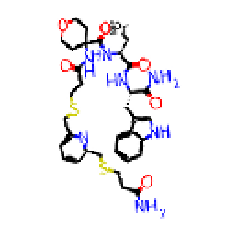 CC(C)C[C@H](NC(=O)C1(NC(=O)CCSCc2cccc(CSCCC(N)=O)n2)CCOCC1)C(=O)N[C@@H](Cc1c[nH]c2ccccc12)C(N)=O